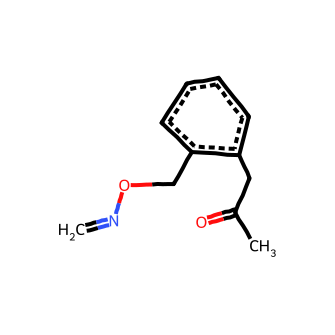 C=NOCc1ccccc1CC(C)=O